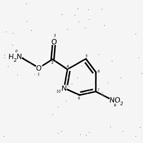 NOC(=O)c1ccc([N+](=O)[O-])cn1